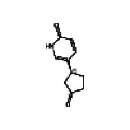 O=C1CC[C@H](c2ccc(=O)[nH]c2)C1